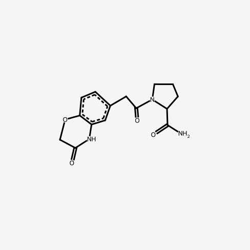 NC(=O)C1CCCN1C(=O)Cc1ccc2c(c1)NC(=O)CO2